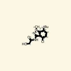 Cn1nc(NC(=O)CO)c2c(Cl)ccc(C(C)(C)C)c21